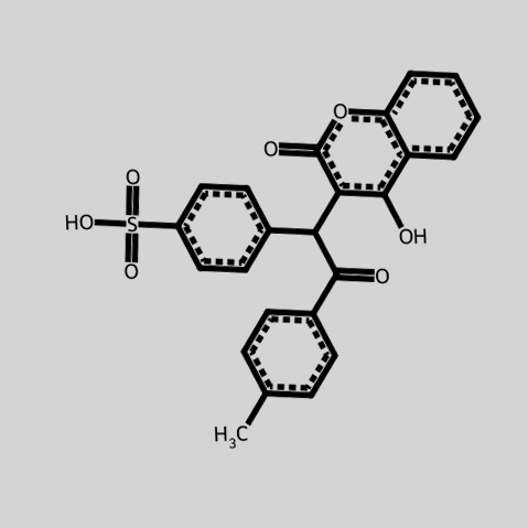 Cc1ccc(C(=O)C(c2ccc(S(=O)(=O)O)cc2)c2c(O)c3ccccc3oc2=O)cc1